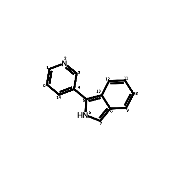 c1cncc(-c2[nH]cc3ccccc23)c1